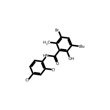 Cc1c(Br)cc(C(C)(C)C)c(O)c1C(=O)Nc1ccc(Cl)cc1Cl